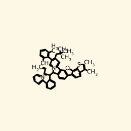 C=CC1C(C2c3ccc4c(oc5c4ccc4c(C)c(C)sc45)c3-c3cc(CC(C)(C)C)c(-c4c(C)cccc4C)c[n+]32)c2ccccc2-c2cccc[n+]21